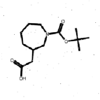 CC(C)(C)OC(=O)N1CCCCC(CC(=O)O)C1